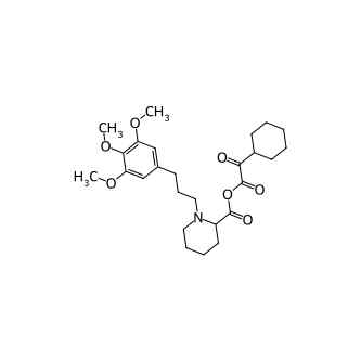 COc1cc(CCCN2CCCCC2C(=O)OC(=O)C(=O)C2CCCCC2)cc(OC)c1OC